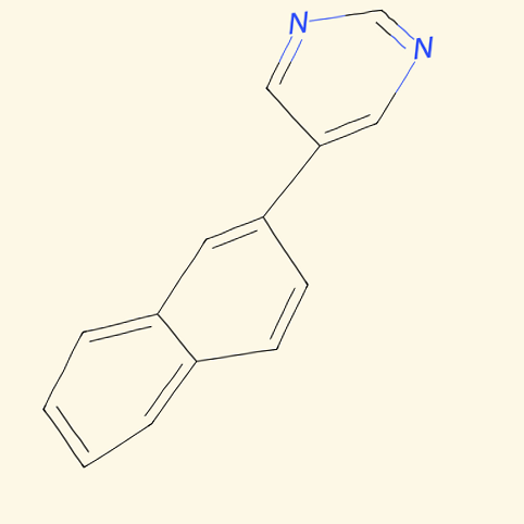 c1ccc2cc(-c3cncnc3)ccc2c1